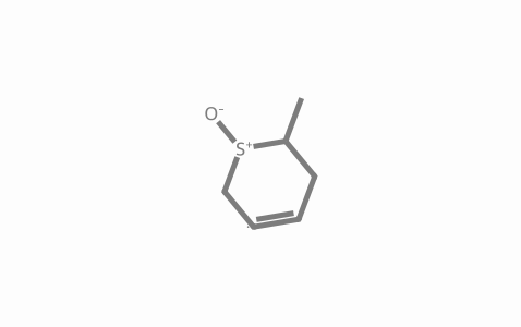 CC1CC=[C]C[S+]1[O-]